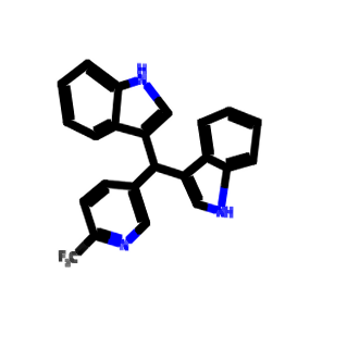 FC(F)(F)c1ccc(C(c2c[nH]c3ccccc23)c2c[nH]c3ccccc23)cn1